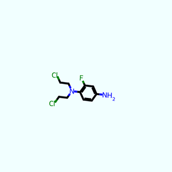 Nc1ccc(N(CCCl)CCCl)c(F)c1